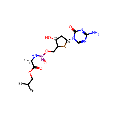 CCC(CC)COC(=O)[C@H](C)N[PH](=O)OCC1S[C@@H](n2cnc(N)nc2=O)C[C@H]1O